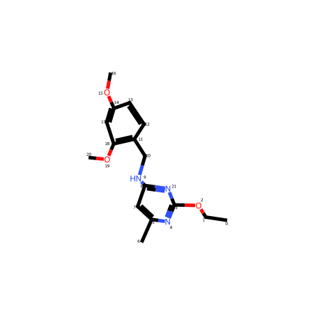 CCOc1nc(C)cc(NCc2ccc(OC)cc2OC)n1